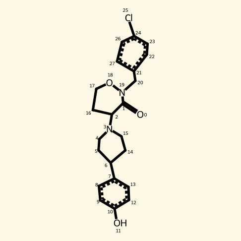 O=C1C(N2CCC(c3ccc(O)cc3)CC2)CCON1Cc1ccc(Cl)cc1